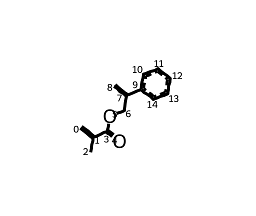 C=C(C)C(=O)OCC(=C)c1ccccc1